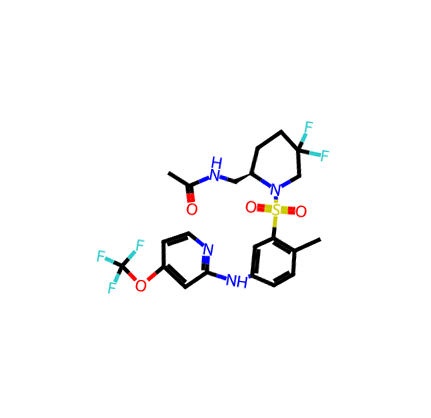 CC(=O)NC[C@H]1CCC(F)(F)CN1S(=O)(=O)c1cc(Nc2cc(OC(F)(F)F)ccn2)ccc1C